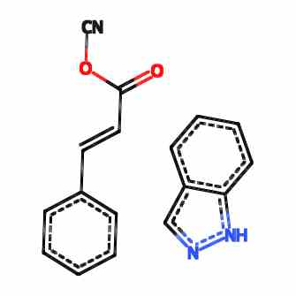 N#COC(=O)C=Cc1ccccc1.c1ccc2[nH]ncc2c1